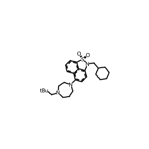 CC(C)(C)CN1CCCN(c2ccc3c4c(cccc24)S(=O)(=O)N3CC2CCCCC2)CC1